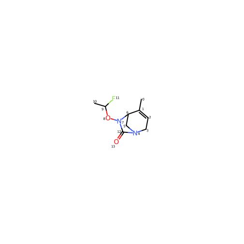 CC1=CCN2CC1N(OC(C)F)C2=O